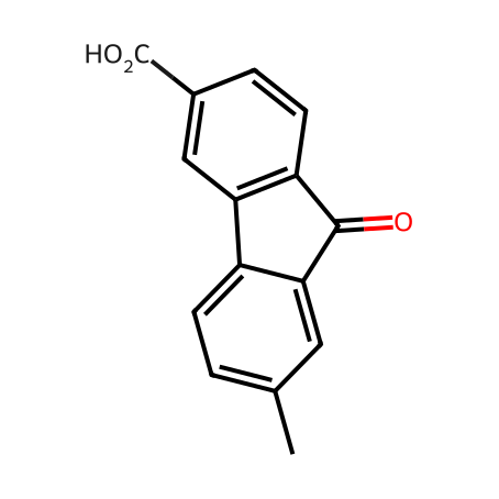 Cc1ccc2c(c1)C(=O)c1ccc(C(=O)O)cc1-2